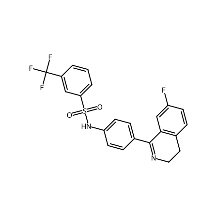 O=S(=O)(Nc1ccc(C2=NCCc3ccc(F)cc32)cc1)c1cccc(C(F)(F)F)c1